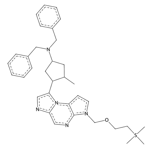 CC1CC(N(Cc2ccccc2)Cc2ccccc2)CC1c1cnc2cnc3c(ccn3COCCS(C)(C)C)n12